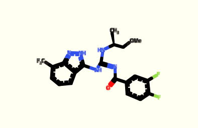 COC[C@H](C)N/C(=N/C(=O)c1ccc(F)c(F)c1)Nc1[nH]nc2c(C(F)(F)F)cccc12